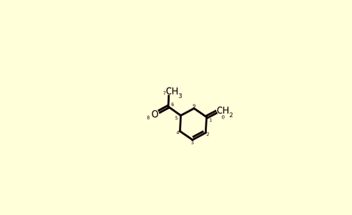 C=C1C=CCC(C(C)=O)C1